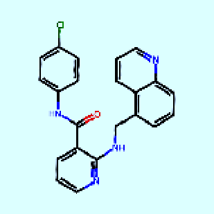 O=C(Nc1ccc(Cl)cc1)c1cccnc1NCc1cccc2ncccc12